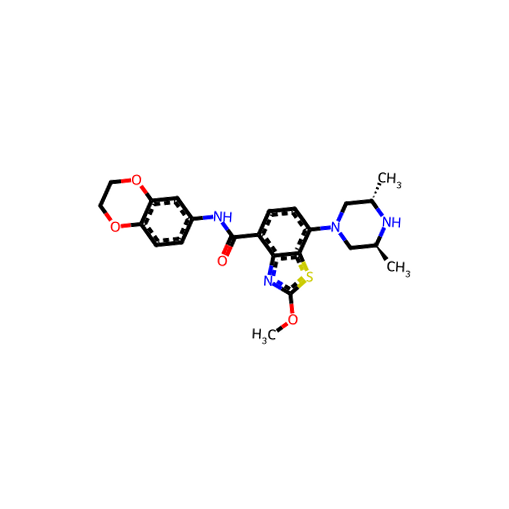 COc1nc2c(C(=O)Nc3ccc4c(c3)OCCO4)ccc(N3C[C@H](C)N[C@@H](C)C3)c2s1